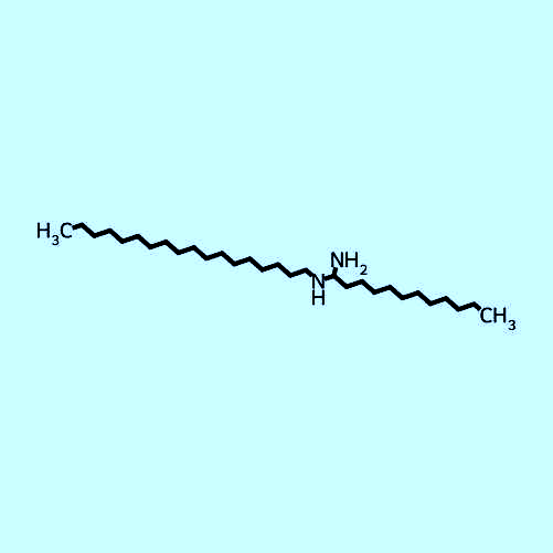 CCCCCCCCCCCCCCCCCCNC(N)CCCCCCCCCCC